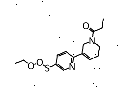 CCOOSc1ccc(C2=CCCN(C(=O)CC)C2)nc1